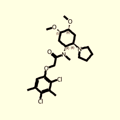 CO[C@H]1C[C@@H](N(C)C(=O)COc2cc(C)c(Cl)c(C)c2Cl)[C@H](N2CCCC2)C[C@H]1OC